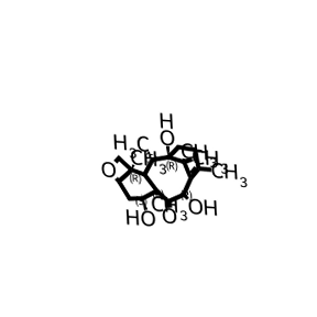 CC1=C2[C@@H](O)C(=O)[C@@]3(C)C([C@H](C)[C@](O)(CC1)C2(C)C)[C@]1(C)COC1C[C@@H]3O